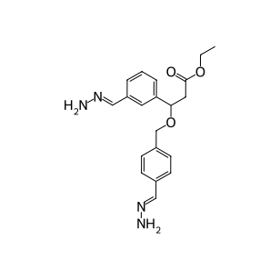 CCOC(=O)CC(OCc1ccc(C=NN)cc1)c1cccc(C=NN)c1